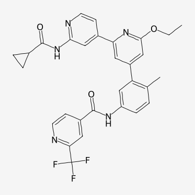 CCOc1cc(-c2cc(NC(=O)c3ccnc(C(F)(F)F)c3)ccc2C)cc(-c2ccnc(NC(=O)C3CC3)c2)n1